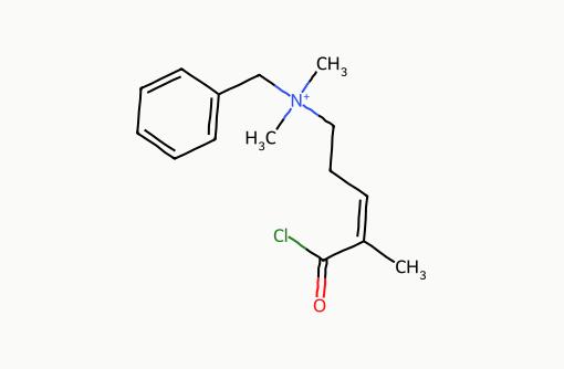 CC(=CCC[N+](C)(C)Cc1ccccc1)C(=O)Cl